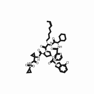 C/C=C\CCCCC[C@H](NC(=O)[C@@H](NC(=O)c1cnccn1)C1CCCCC1)C(=O)N1C[C@H](OC(=O)N2Cc3cccc(Cl)c3C2)C[C@H]1C(=O)NC1(C(=O)NS(=O)(=O)C2CC2)CC1